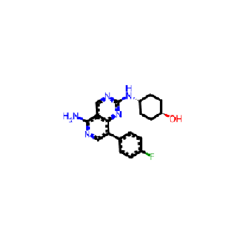 Nc1ncc(-c2ccc(F)cc2)c2nc(N[C@H]3CC[C@H](O)CC3)ncc12